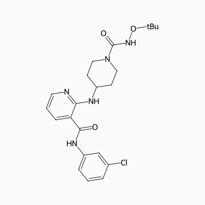 CC(C)(C)ONC(=O)N1CCC(Nc2ncccc2C(=O)Nc2cccc(Cl)c2)CC1